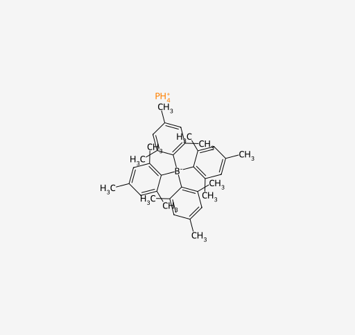 Cc1cc(C)c([B-](c2c(C)cc(C)cc2C)(c2c(C)cc(C)cc2C)c2c(C)cc(C)cc2C)c(C)c1.[PH4+]